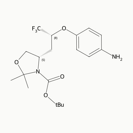 CC(C)(C)OC(=O)N1[C@@H](C[C@@H](Oc2ccc(N)cc2)C(F)(F)F)COC1(C)C